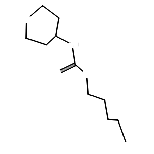 O=C(NC1CCNCC1)OCCCCO